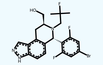 CC(C)(F)CN1[C@H](CO)Cc2c(ccc3[nH]ncc23)[C@H]1c1c(F)cc(Br)cc1F